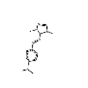 CN(C)c1ccc(/N=N/C2N(C)C=CN2C)cc1